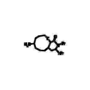 BC1CCCCC2C(=O)N(C(C)C)C(CCC)CC2CCC1